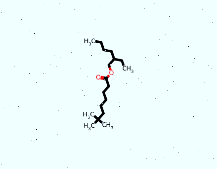 CCCCC(CC)COC(=O)CCCCCC(C)(C)C